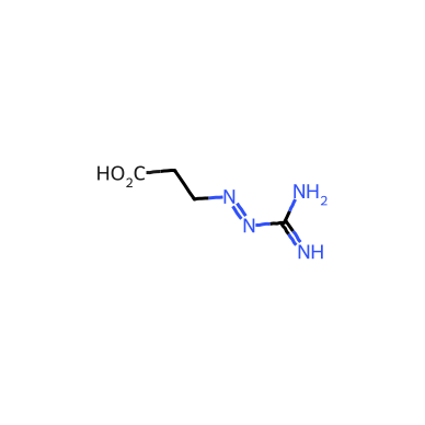 N=C(N)N=NCCC(=O)O